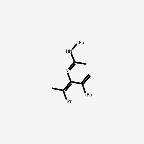 C=C(C(/N=C(\C)NC(C)(C)C)=C(/C)C(C)C)C(C)(C)C